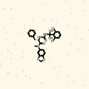 CN(C(=O)[C@H](Cc1ccccc1)NC(=O)NC(O)(O)c1c(Cl)cccc1Cl)c1ccc2c(c1)OCO2